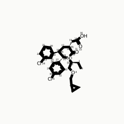 CC[C@@H](COCC1CC1)N1C(=O)[C@@H](CC(=O)O)C[C@H](c2cccc(Cl)c2)[C@H]1c1ccc(Cl)cc1